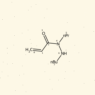 C=CC(=O)N(CCC)NCCCC